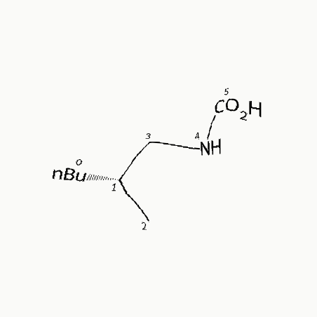 CCCC[C@@H](C)CNC(=O)O